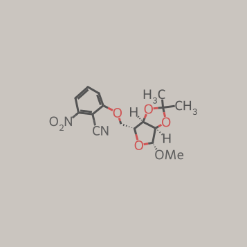 CO[C@@H]1O[C@H](COc2cccc([N+](=O)[O-])c2C#N)[C@H]2OC(C)(C)O[C@@H]12